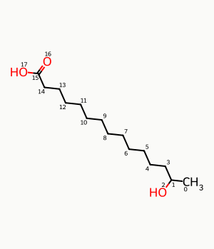 CC(O)CCCCCCCCCCCCC(=O)O